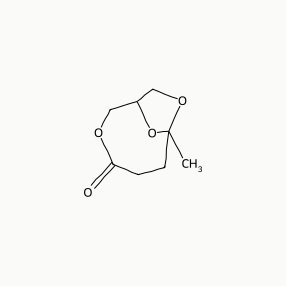 CC12CCC(=O)OCC(CO1)O2